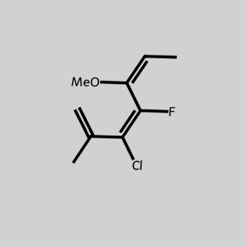 C=C(C)/C(Cl)=C(F)\C(=C/C)OC